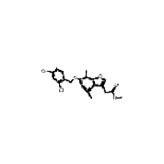 COC(=O)Cc1coc2c(C)c(OCc3ccc(Cl)cc3Cl)cc(C)c12